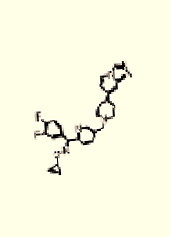 Fc1ccc(C(=NOC2CC2)c2ccc(CN3CCC(c4ccn5cnnc5c4)CC3)cn2)cc1F